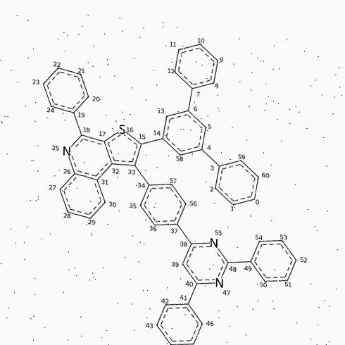 c1ccc(-c2cc(-c3ccccc3)cc(-c3sc4c(-c5ccccc5)nc5ccccc5c4c3-c3ccc(-c4cc(-c5ccccc5)nc(-c5ccccc5)n4)cc3)c2)cc1